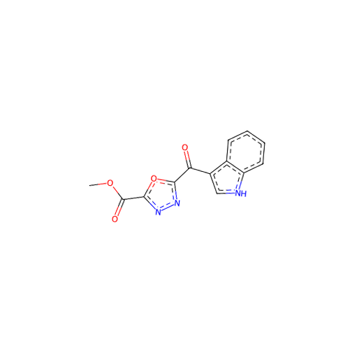 COC(=O)c1nnc(C(=O)c2c[nH]c3ccccc23)o1